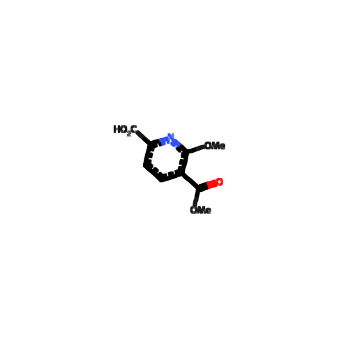 COC(=O)c1ccc(C(=O)O)nc1OC